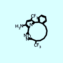 Nc1cc(C(F)(F)F)c2nc1-c1nnc(o1)C(C(F)(F)F)CCCCCc1ccccc1-2